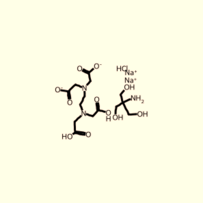 Cl.NC(CO)(CO)CO.O=C([O-])CN(CCN(CC(=O)O)CC(=O)O)CC(=O)[O-].[Na+].[Na+]